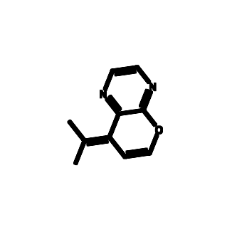 CC(C)=C1C=COc2nccnc21